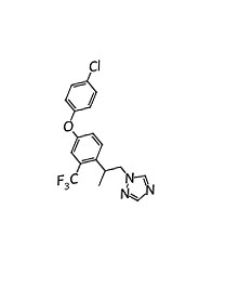 CC(Cn1cncn1)c1ccc(Oc2ccc(Cl)cc2)cc1C(F)(F)F